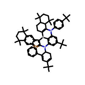 CC(C)(C)C1=CCC(N2c3cc(C(C)(C)C)cc4c3B(C3=C(C5C(CC3)C(C)(C)CCC5(C)C)N4c3ccc(C(C)(C)C)cc3)c3c2sc2cc4c(cc32)C(C)(C)CCC4(C)C)C(c2ccccc2)=C1